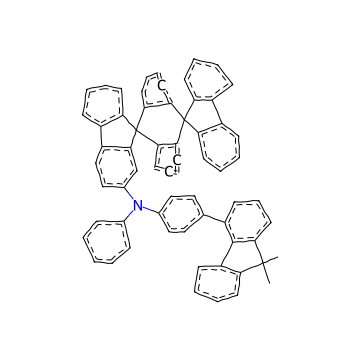 CC1(C)c2ccccc2-c2c(-c3ccc(N(c4ccccc4)c4ccc5c(c4)C4(c6ccccc6-5)c5ccccc5C5(c6ccccc6-c6ccccc65)c5ccccc54)cc3)cccc21